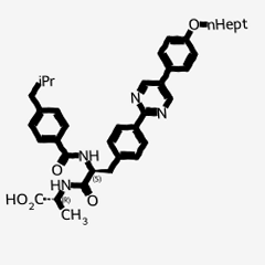 CCCCCCCOc1ccc(-c2cnc(-c3ccc(C[C@H](NC(=O)c4ccc(CC(C)C)cc4)C(=O)N[C@H](C)C(=O)O)cc3)nc2)cc1